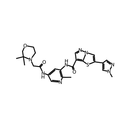 Cc1ncc(NC(=O)CN2CCOCC2(C)C)cc1NC(=O)c1cnn2cc(-c3cnn(C)c3)sc12